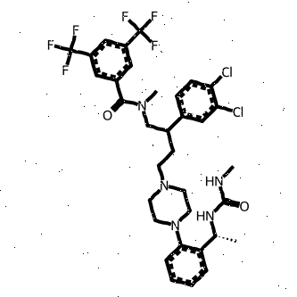 CNC(=O)N[C@H](C)c1ccccc1N1CCN(CCC(CN(C)C(=O)c2cc(C(F)(F)F)cc(C(F)(F)F)c2)c2ccc(Cl)c(Cl)c2)CC1